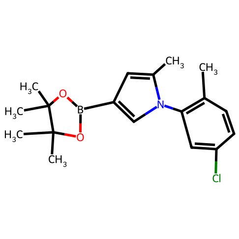 Cc1ccc(Cl)cc1-n1cc(B2OC(C)(C)C(C)(C)O2)cc1C